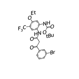 CCOc1cc(NC(=O)OC(C)(C)C)c(NC(=O)CC(=O)c2cccc(Br)c2)cc1C(F)(F)F